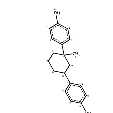 CC1(c2ccc(O)cc2)CCCC(c2ccc(O)cc2)C1